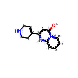 O=c1cc(C2=CCNCC2)nc2ccccn12